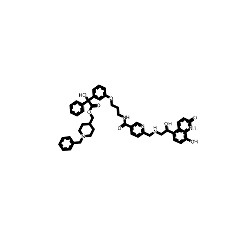 O=C(NCCCOc1cccc(C(O)(C(=O)OCC2CCN(Cc3ccccc3)CC2)c2ccccc2)c1)c1ccc(CNCC(O)c2ccc(O)c3[nH]c(=O)ccc23)nc1